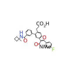 CNC(=O)c1c(-c2ccc(F)cc2)oc2cc(CCC(=O)O)c(-c3cccc(C(=O)NC4(C)CCC4)c3)cc12